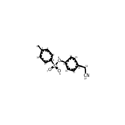 Cc1ccc(S(=O)(=O)Oc2ccc(CC#N)cc2)cc1